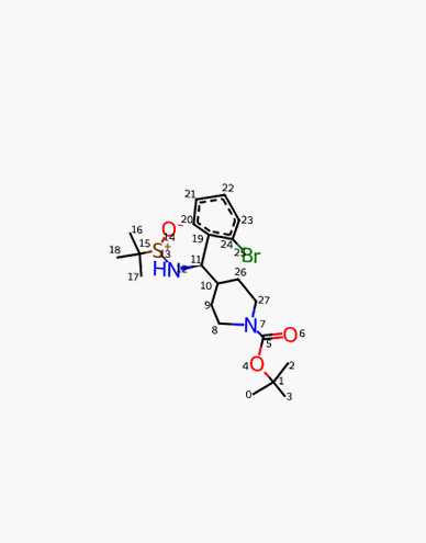 CC(C)(C)OC(=O)N1CCC([C@@H](N[S+]([O-])C(C)(C)C)c2ccccc2Br)CC1